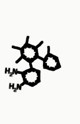 Cc1ccccc1-c1c(C)c(C)c(C)c(C)c1-c1cccc(N)c1N